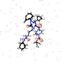 Cc1ccccc1-n1c(-c2ccccc2)c(C(=O)N2CCN(C(=O)OC(C)(C)C)CC2)n(CCCNC(=O)Nc2ccccc2)c1=O